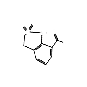 O=C(O)c1cccc2c1NS(=O)(=O)CC2